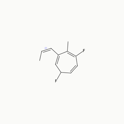 C/C=C\C1=CC(F)C=CC(F)=C1C